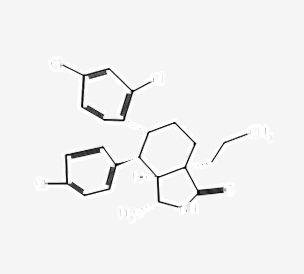 CCC[C@@]12CC[C@@H](c3ccc(Cl)cc3Cl)[C@H](c3ccc(Cl)cc3)[C@@H]1[C@@H](C)NC2=O